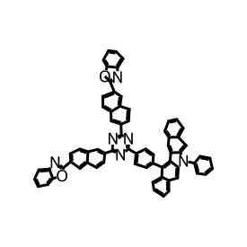 c1ccc(-n2c3cc4ccccc4cc3c3c(-c4ccc(-c5nc(-c6ccc7cc(-c8nc9ccccc9o8)ccc7c6)nc(-c6ccc7cc(-c8nc9ccccc9o8)ccc7c6)n5)cc4)c4ccccc4cc32)cc1